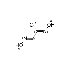 ON=CC(Cl)=NO